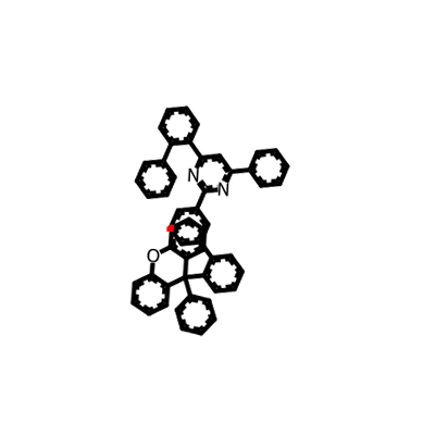 c1ccc(-c2cc(-c3ccccc3-c3ccccc3)nc(-c3cccc(-c4ccccc4C4(c5ccccc5)c5ccccc5Oc5ccccc54)c3)n2)cc1